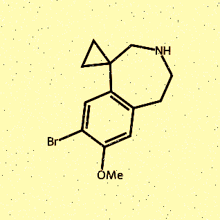 COc1cc2c(cc1Br)C1(CC1)CNCC2